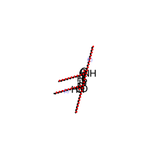 CCCCCCCC/C=C/CCCCCCCC(=O)NC(CCSSSCCC(NC(=O)CCCCCCC/C=C/CCCCCCCC)C(=O)NCCCCCCCCCCCCCCCC)C(=O)NCCCCCCCCCCCCCCCC